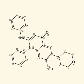 Cc1nc2c(cc1N1CCOCC1)c(=O)cc(Nc1ccccc1)n2-c1ccccc1